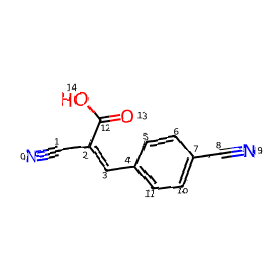 N#CC(=Cc1ccc(C#N)cc1)C(=O)O